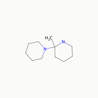 CC1(N2CCCCC2)CCCC[N]1